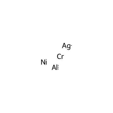 [Ag].[Al].[Cr].[Ni]